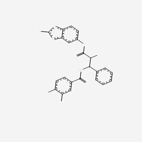 Cc1ccc(C(=O)NC(c2ccccc2)C(O)C(=O)Nc2ccc3nc(N)[nH]c3c2)cc1F